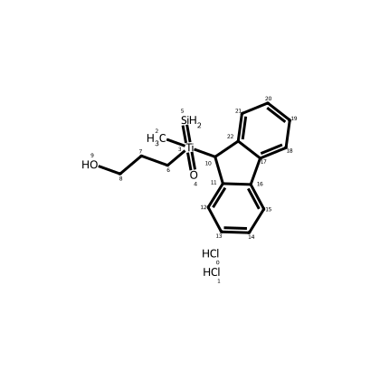 Cl.Cl.[CH3][Ti](=[O])(=[SiH2])([CH2]CCO)[CH]1c2ccccc2-c2ccccc21